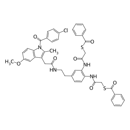 COc1ccc2c(c1)c(CC(=O)NCCc1ccc(NC(=O)CSC(=O)c3ccccc3)c(NC(=O)CSC(=O)c3ccccc3)c1)c(C)n2C(=O)c1ccc(Cl)cc1